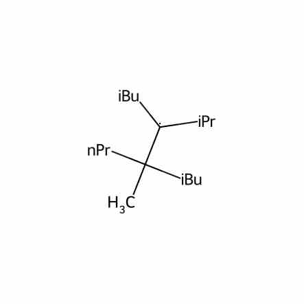 CCCC(C)([C](C(C)C)C(C)CC)C(C)CC